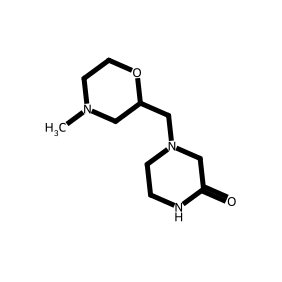 CN1CCOC(CN2CCNC(=O)C2)C1